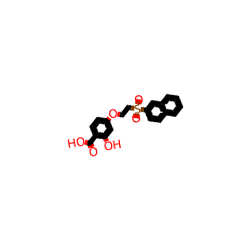 O=C(O)c1ccc(OCCS(=O)(=O)c2ccc3ccccc3c2)cc1O